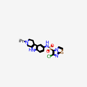 CC(C)N1CCc2c([nH]c3ccc(NS(=O)(=O)c4c(Cl)nc5sccn45)cc23)C1